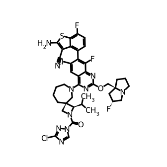 CC(C)[C@H]1N(C(=O)n2cnc(Cl)n2)C[C@]12CCCCN(c1nc(OC[C@@]34CCCN3C[C@H](F)C4)nc3c(F)c(-c4ccc(F)c5sc(N)c(C#N)c45)c(Cl)cc13)C2